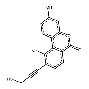 O=c1oc2cc(O)ccc2c2c(Cl)c(C#CCO)ccc12